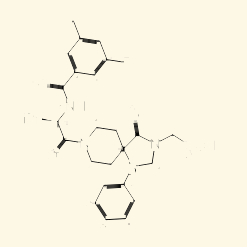 Cc1cc(F)cc(C(=O)N[C@@H](C(=O)N2CCC3(CC2)C(=O)N(CC(=O)O)CN3c2ccccc2)C(C)C)c1